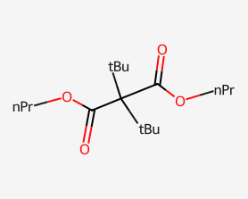 CCCOC(=O)C(C(=O)OCCC)(C(C)(C)C)C(C)(C)C